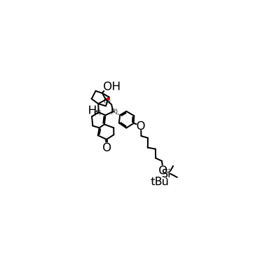 CC(C)(C)[Si](C)(C)OCCCCCCOc1ccc([C@H]2C[C@]3(C)C4(O)CCC3(CC4)[C@@H]3CCC4=CC(=O)CCC4=C32)cc1